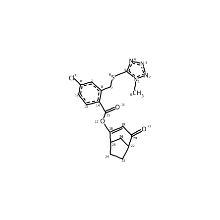 Cn1nnnc1SCc1cc(Cl)ccc1C(=O)OC1=CC(=O)C2CCC1C2